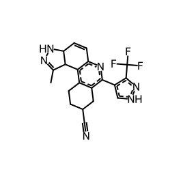 CC1=NNC2C=Cc3nc(-c4c[nH]nc4C(F)(F)F)c4c(c3C12)CCC(C#N)C4